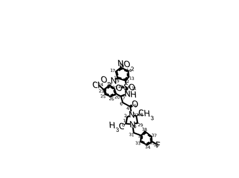 C[C@@H]1CN(C(=O)CC(NS(=O)(=O)c2ccc([N+](=O)[O-])cc2[N+](=O)[O-])c2ccc(Cl)cc2)[C@@H](C)CN1Cc1ccc(F)cc1